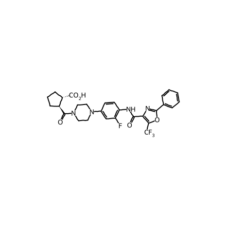 O=C(Nc1ccc(N2CCN(C(=O)[C@H]3CCC[C@@H]3C(=O)O)CC2)cc1F)c1nc(-c2ccccc2)oc1C(F)(F)F